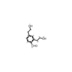 O=Cc1ccc(CCO)cc1CCO